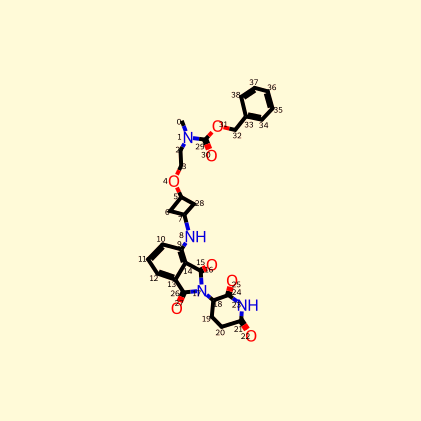 CN(CCOC1CC(Nc2cccc3c2C(=O)N(C2CCC(=O)NC2=O)C3=O)C1)C(=O)OCc1ccccc1